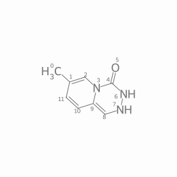 CC1=CN2C(=O)NNC=C2C=C1